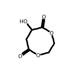 O=C1CC(O)C(=O)OCCO1